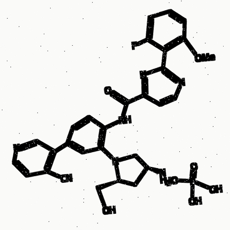 COc1cccc(F)c1-c1nccc(C(=O)Nc2ccc(-c3cnccc3C#N)cc2N2C[C@@H](N)C[C@H]2CO)n1.O=P(O)(O)O